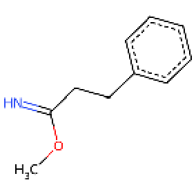 COC(=N)CCc1ccccc1